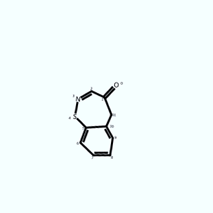 O=C1C=NSc2ccccc2C1